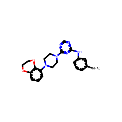 CC(=O)Nc1cccc(Nc2ncnc(N3CCN(c4cccc5c4OCCO5)CC3)n2)c1